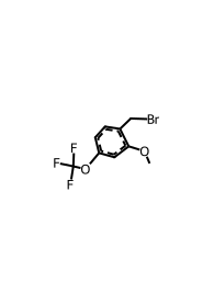 COc1cc(OC(F)(F)F)ccc1CBr